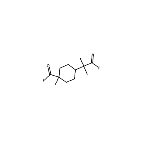 C=C(F)C(C)(C)C1CCC(C)(C(=O)F)CC1